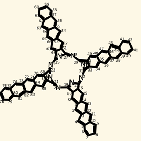 C1=c2cc3cc4ccccc4cc3cc2=CC2c3nc(nc4[nH]c(nc5nc(nc6[nH]c(n3)c3cc7cc8cc9ccccc9cc8cc7cc63)-c3cc6cc7cc8ccccc8cc7cc6cc3-5)c3cc5cc6cc7ccccc7cc6cc5cc43)C12